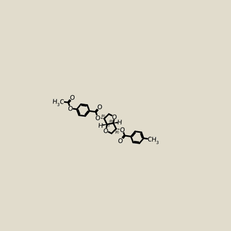 CC(=O)Oc1ccc(C(=O)O[C@@H]2CO[C@H]3[C@@H]2OC[C@H]3OC(=O)c2ccc(C)cc2)cc1